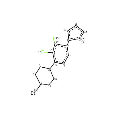 CCC1CCC(c2ccc(-c3ccc[se]3)c(F)c2F)CC1